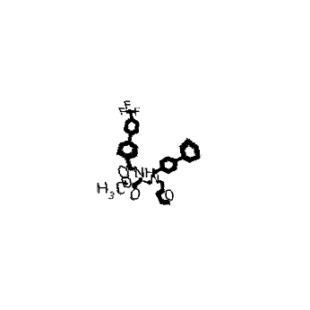 COC(=O)[C@H](CN(Cc1ccc(-c2ccccc2)cc1)Cc1ccco1)NC(=O)c1ccc(-c2ccc(C(F)(F)F)cc2)cc1